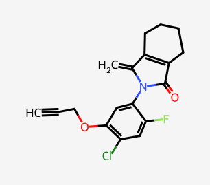 C#CCOc1cc(N2C(=C)C3=C(CCCC3)C2=O)c(F)cc1Cl